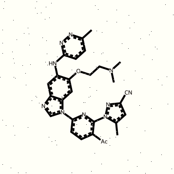 CC(=O)c1ccc(-n2cnc3cc(Nc4ccc(C)nn4)c(OCCN(C)C)cc32)nc1-n1nc(C#N)cc1C